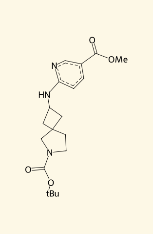 COC(=O)c1ccc(NC2CC3(CCN(C(=O)OC(C)(C)C)C3)C2)nc1